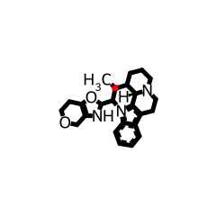 CC[C@]12CCCN3CCc4c(n(c5ccccc45)C(C4NC5=C(CCOC5)O4)C1)[C@@H]32